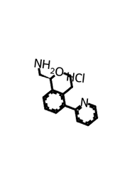 Cl.NC[C@H]1OCCc2c(-c3ccccn3)cccc21